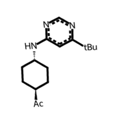 CC(=O)[C@H]1CC[C@H](Nc2cc(C(C)(C)C)ncn2)CC1